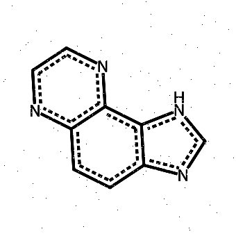 c1cnc2c(ccc3nc[nH]c32)n1